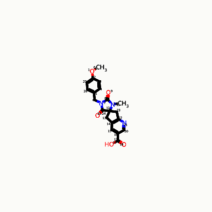 COc1ccc(CN2C(=O)N(C)C3(Cc4cc(C(=O)O)cnc4C3)C2=O)cc1